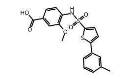 COc1cc(C(=O)O)ccc1NS(=O)(=O)c1ccc(-c2cccc(C)c2)s1